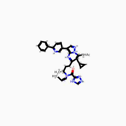 C/C=C\N(C(=O)c1nnc[nH]1)[C@H](C)CCc1nc2c(-c3ccc(-c4ccccc4)nc3)cnn2c(NC(C)=O)c1C1CC1